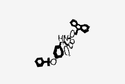 COC(=O)[C@@H](Cc1ccc(OC(C)(C)c2ccccc2)cc1)NC(=O)OCC1c2ccccc2-c2ccccc21